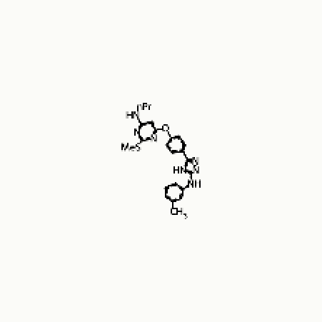 CCCNc1cc(Oc2ccc(-c3nnc(Nc4cccc(C)c4)[nH]3)cc2)nc(SC)n1